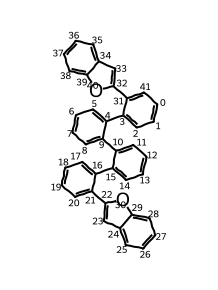 c1ccc(-c2ccccc2-c2ccccc2-c2ccccc2-c2cc3ccccc3o2)c(-c2cc3ccccc3o2)c1